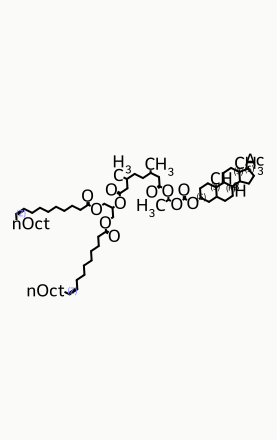 CCCCCCCC/C=C\CCCCCCCC(=O)OCC(COC(=O)CCCCCCC/C=C\CCCCCCCC)OC(=O)CC(C)CCC(C)CC(=O)OC(C)OC(=O)O[C@H]1CC[C@@]2(C)C(CC[C@@H]3C2CC[C@@]2(C)C3CC[C@@H]2C(C)=O)C1